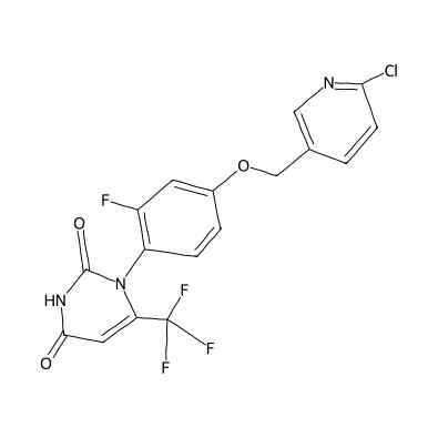 O=c1cc(C(F)(F)F)n(-c2ccc(OCc3ccc(Cl)nc3)cc2F)c(=O)[nH]1